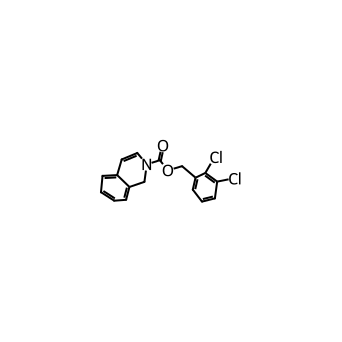 O=C(OCc1cccc(Cl)c1Cl)N1C=Cc2ccccc2C1